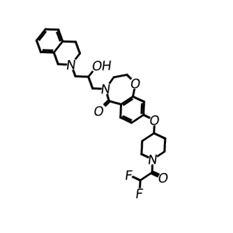 O=C1c2ccc(OC3CCN(C(=O)C(F)F)CC3)cc2OCCN1CC(O)CN1CCc2ccccc2C1